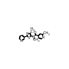 Cc1cc(C(=O)N(C)c2sc(-c3cccnc3)nc2C)ccn1